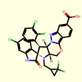 O=C(O)c1ccc2c3n(nc2c1)[C@@H]1[C@H](CO3)N(CC2CC2(F)F)[C@@]2(C(=O)Nc3cc(Cl)ccc32)[C@H]1c1cccc(Cl)c1F